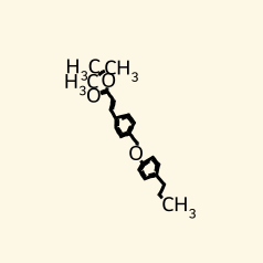 CCCc1ccc(OCc2ccc(C=CC(=O)OC(C)(C)C)cc2)cc1